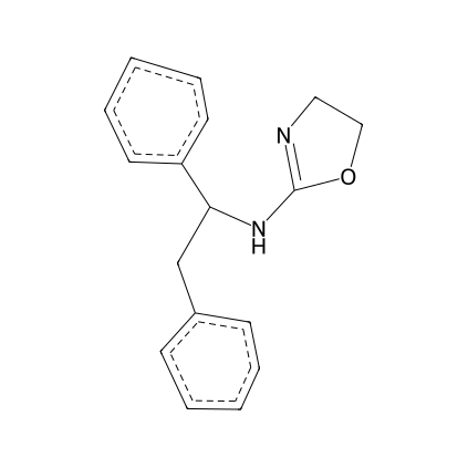 c1ccc(CC(NC2=NCCO2)c2ccccc2)cc1